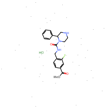 COC(=O)c1ccc(CNC(=O)N2CCNCC2c2ccccc2)c(F)c1.Cl